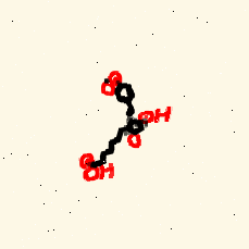 O=C(O)CCCCCC[C@@H]1C(=O)C[C@@H](O)[C@H]1C=Cc1ccc2c(c1)OCO2